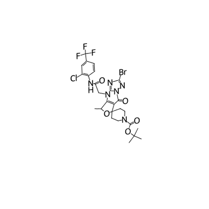 CC1OC2(CCN(C(=O)OC(C)(C)C)CC2)c2c1n(CC(=O)Nc1ccc(C(F)(F)F)cc1Cl)c1nc(Br)nn1c2=O